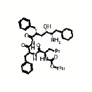 CC(C)CC(NC(=O)OC(C)(C)C)C(=O)NC(Cc1ccccc1)C(=O)NC(=O)[C@H](Cc1ccccc1)C[C@H](O)[C@@H](N)CC1CCCCC1